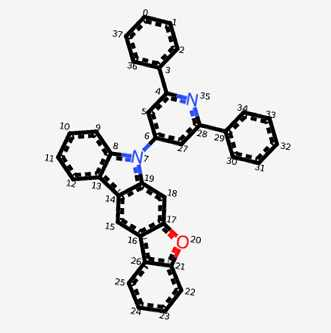 c1ccc(-c2cc(-n3c4ccccc4c4cc5c(cc43)oc3ccccc35)cc(-c3ccccc3)n2)cc1